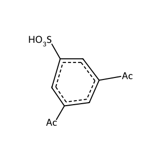 CC(=O)c1cc(C(C)=O)cc(S(=O)(=O)O)c1